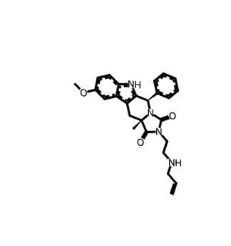 C=CCNCCN1C(=O)N2[C@H](c3ccccc3)c3[nH]c4ccc(OC)cc4c3C[C@@]2(C)C1=O